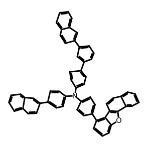 c1cc(-c2ccc(N(c3ccc(-c4ccc5ccccc5c4)cc3)c3ccc(-c4cccc5oc6c7ccccc7ccc6c45)cc3)cc2)cc(-c2ccc3ccccc3c2)c1